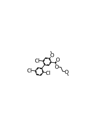 COCCOC(=O)c1cc(-c2cc(Cl)ccc2Cl)c(Cl)cc1OC